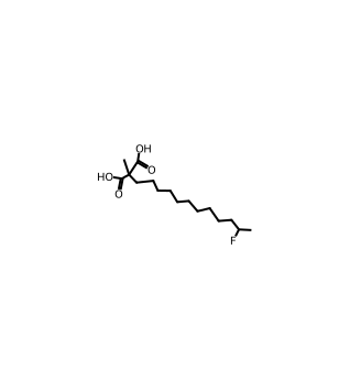 CC(F)CCCCCCCCCCC(C)(C(=O)O)C(=O)O